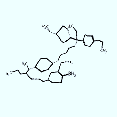 BC1CCC(CCCC(CCC)C(C)[C@H]2CC[C@@H](CCCCC[C@](CC)(C3=CCC(CC)CC3)[C@H]3CC[C@@H](CC)CC3)CC2)CC1CC